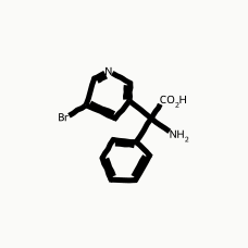 NC(C(=O)O)(c1ccccc1)c1cncc(Br)c1